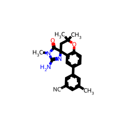 Cc1cc(C#N)cc(-c2ccc3c(c2)C2(CC(C)(C)O3)N=C(N)N(C)C2=O)c1